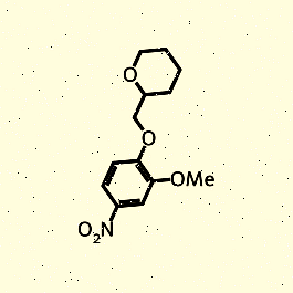 COc1cc([N+](=O)[O-])ccc1OCC1CCCCO1